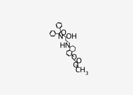 CCOC(=O)COc1cccc2c1CCCC2NCCC(O)c1nc(-c2ccccc2)c(-c2ccccc2)o1